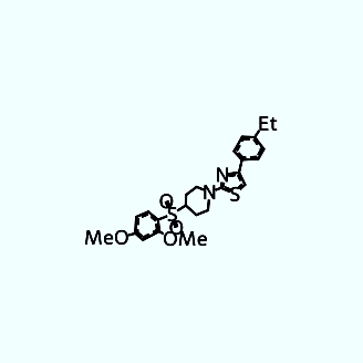 CCc1ccc(-c2csc(N3CCC(S(=O)(=O)c4ccc(OC)cc4OC)CC3)n2)cc1